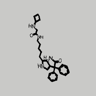 NC(=O)C(c1ccccc1)(c1ccccc1)C1CNC(CCCCCNC(=O)CNC2CCC2)C1